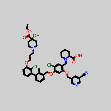 CCOC(=O)C1(O)CCN(CCCOc2cccc(-c3cccc(COc4cc(OCc5cncc(C#N)c5)c(CN5CCCCC5C(=O)O)cc4Cl)c3C)c2Cl)CC1